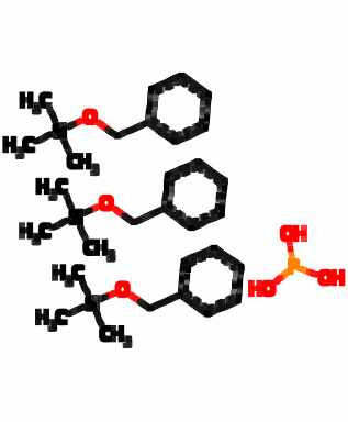 C[Si](C)(C)OCc1ccccc1.C[Si](C)(C)OCc1ccccc1.C[Si](C)(C)OCc1ccccc1.OP(O)O